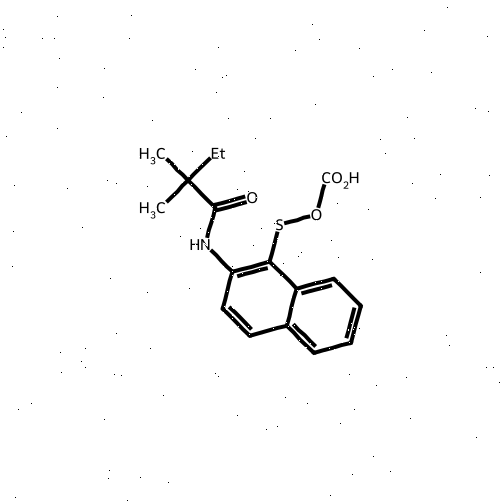 CCC(C)(C)C(=O)Nc1ccc2ccccc2c1SOC(=O)O